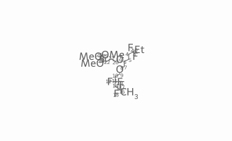 CCC(F)(F)CCC(COCCC(F)(F)CC(C)(F)F)OCCC[Si](OC)(OC)OC